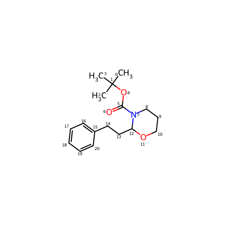 CC(C)(C)OC(=O)N1CCCOC1CCc1ccccc1